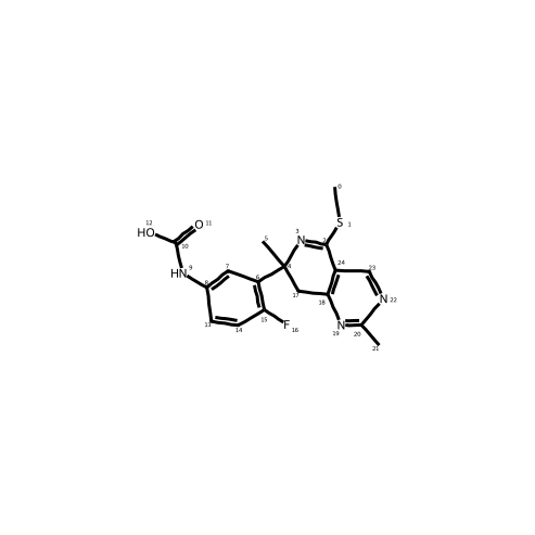 CSC1=NC(C)(c2cc(NC(=O)O)ccc2F)Cc2nc(C)ncc21